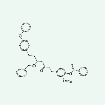 COc1cc(CCC(=O)CC(CCc2ccc(Oc3ccccc3)cc2)OCc2ccccc2)ccc1OC(=O)c1ccccc1